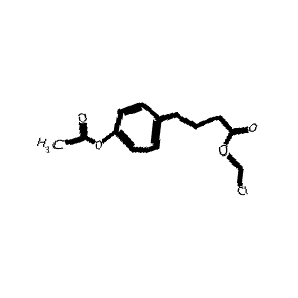 CC(=O)Oc1ccc(CCCC(=O)OCCl)cc1